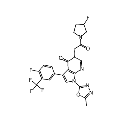 Cc1nnc(-n2cc(-c3ccc(F)c(C(F)(F)F)c3)c3c2N=CC(CC(=O)N2CCC(F)C2)C3=O)o1